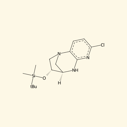 CC(C)(C)[Si](C)(C)O[C@@H]1CN2C[C@H]1Nc1nc(Cl)ccc12